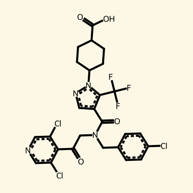 O=C(CN(Cc1ccc(Cl)cc1)C(=O)c1cnn(C2CCC(C(=O)O)CC2)c1C(F)(F)F)c1c(Cl)cncc1Cl